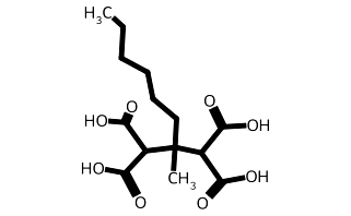 CCCCCCC(C)(C(C(=O)O)C(=O)O)C(C(=O)O)C(=O)O